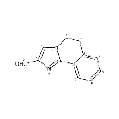 O=Cc1cn2c(n1)-c1ccccc1CC2